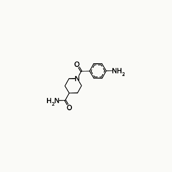 NC(=O)C1CCN(C(=O)c2ccc(N)cc2)CC1